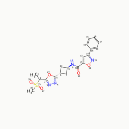 CC(c1nnc([C@H]2C[C@H](NC(=O)c3cc(-c4ccccc4)no3)C2)o1)S(C)(=O)=O